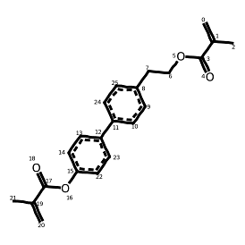 C=C(C)C(=O)OCCc1ccc(-c2ccc(OC(=O)C(=C)C)cc2)cc1